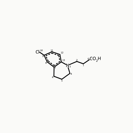 O=C(O)CCN1CCCc2cc(Cl)ccc21